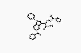 O=C(O)/C(=N\OC(=O)n1cccc1)c1cn(-c2ccccc2)c2ccc(C(=O)c3ccccc3)cc12